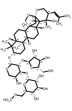 CC(C)=C[C@@H]1CO[C@]23C[C@@]4(CO2)[C@@H](CC[C@@H]2[C@@]5(C)CC[C@H](O[C@H]6OC[C@H](O)[C@H](O[C@H]7O[C@H](COS(=O)(=O)O)[C@@H](O)[C@H](O)[C@H]7O)[C@H]6O[C@@H]6O[C@@H](CO)[C@H](O)[C@H]6O)C(C)(C)[C@@H]5CC[C@]24C)[C@H]3[C@@]1(C)O